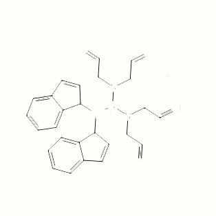 C=CCN(CC=C)[SiH](N(CC=C)CC=C)[Zr+2]([CH]1C=Cc2ccccc21)[CH]1C=Cc2ccccc21.[Cl-].[Cl-]